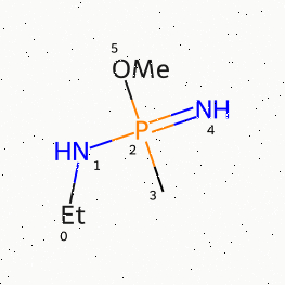 CCNP(C)(=N)OC